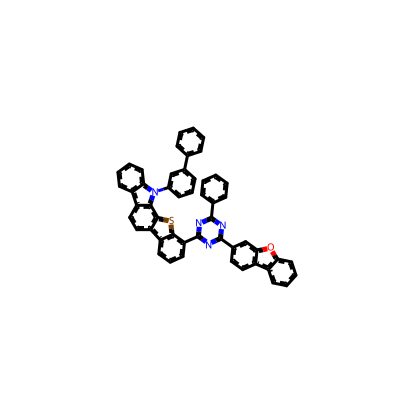 c1ccc(-c2cccc(-n3c4ccccc4c4ccc5c6cccc(-c7nc(-c8ccccc8)nc(-c8ccc9c(c8)oc8ccccc89)n7)c6sc5c43)c2)cc1